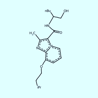 CCCCC(CO)NC(=O)c1c(C)nc2c(OCCC(C)C)cccn12